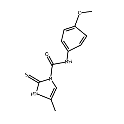 COc1ccc(NC(=O)n2cc(C)[nH]c2=S)cc1